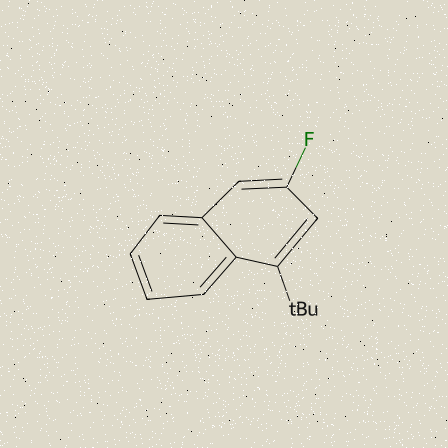 CC(C)(C)c1cc(F)cc2ccccc12